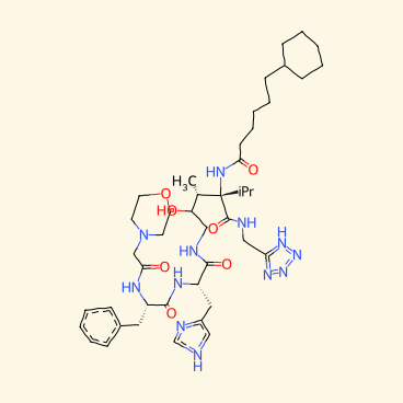 CC(C)[C@@](NC(=O)CCCCCC1CCCCC1)(C(=O)NCc1nnn[nH]1)[C@@H](C)C(O)CNC(=O)[C@H](Cc1c[nH]cn1)NC(=O)[C@H](Cc1ccccc1)NC(=O)CN1CCOCC1